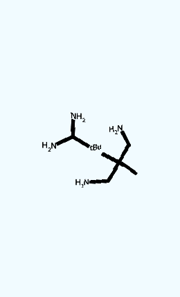 CC(C)(C)C(N)N.CC(C)(CN)CN